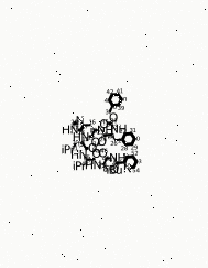 CC[C@H](C)[C@H](NC(=O)[C@@H](NC(=O)[C@H](CC(C)C)NC(=O)[C@H](Cc1c[nH]cn1)NC(=O)[C@H](Cc1ccccc1)NC(=O)OCc1ccccc1)C(C)C)C(=O)NC(=O)c1ccccn1